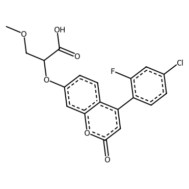 COCC(Oc1ccc2c(-c3ccc(Cl)cc3F)cc(=O)oc2c1)C(=O)O